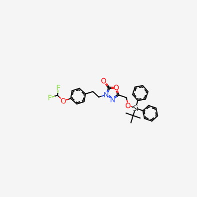 CC(C)(C)[Si](OCc1nn(CCc2ccc(OC(F)F)cc2)c(=O)o1)(c1ccccc1)c1ccccc1